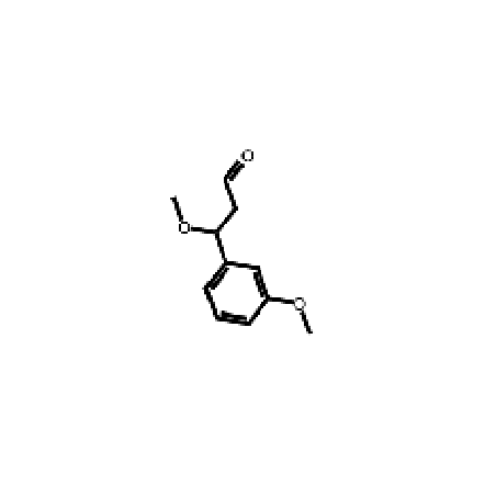 COc1cccc(C(CC=O)OC)c1